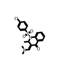 CC1C(=CN(C)C)C(=O)c2ccccc2N1S(=O)(=O)c1ccc(Cl)cc1